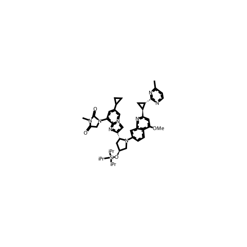 COc1cc([C@H]2C[C@@H]2c2nccc(C)n2)nc2cc(N3C[C@@H](O[Si](C(C)C)(C(C)C)C(C)C)C[C@@H]3c3cn4cc(C5CC5)cc(N5CC(=O)N(C)C5=O)c4n3)ccc12